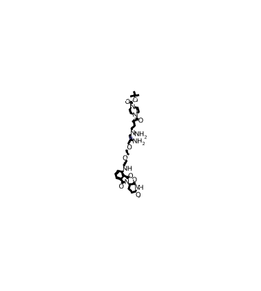 CC(C)(C)OC(=O)N1CCN(C(=O)CCCN(N)/C=C(\N)COCCOCCNc2cccc3c2C(=O)N(C2CCC(=O)NC2=O)C3=O)CC1